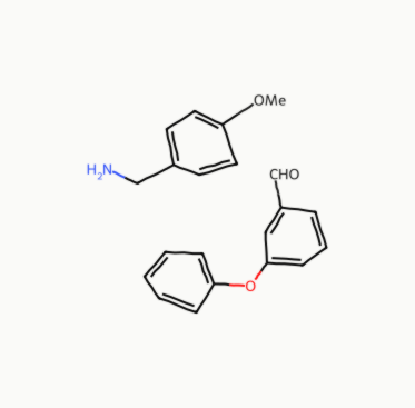 COc1ccc(CN)cc1.O=Cc1cccc(Oc2ccccc2)c1